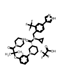 CC(C)(Oc1cccc(N2CCC[C@@H](C(=O)N(Cc3ccc(-c4cn[nH]c4)cc3C(F)(F)F)C3CC3)C2)c1)C(=O)N1CCNCC1.O=C(O)C(F)(F)F